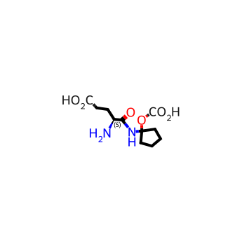 N[C@@H](CCC(=O)O)C(=O)NC1(OC(=O)O)CCCC1